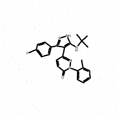 Cc1ccccc1-n1nc(-c2c(-c3ccc(F)cc3)n[nH]c2NC(C)(C)C)ccc1=O